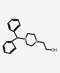 OCCN1CCN(C(c2ccccc2)c2ccccc2)CC1